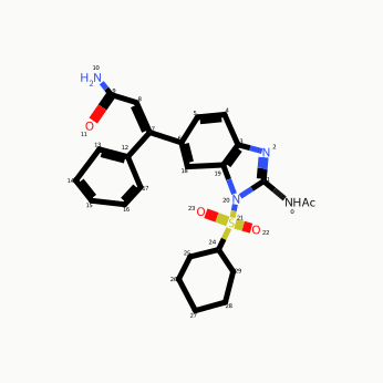 CC(=O)Nc1nc2ccc(C(=CC(N)=O)c3ccccc3)cc2n1S(=O)(=O)C1CCCCC1